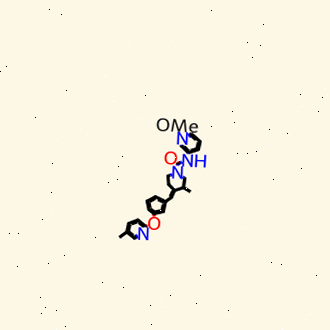 COc1ccc(NC(=O)N2CC/C(=C\c3cccc(Oc4ccc(C)cn4)c3)C(C)C2)cn1